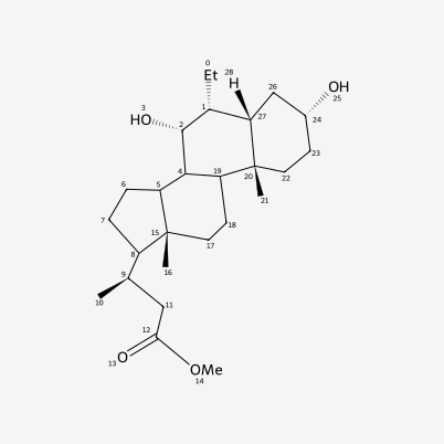 CC[C@H]1[C@@H](O)C2C3CCC([C@H](C)CC(=O)OC)[C@@]3(C)CCC2[C@@]2(C)CC[C@@H](O)C[C@@H]12